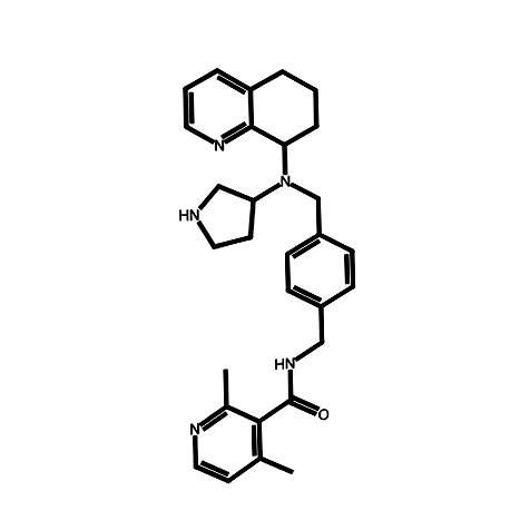 Cc1ccnc(C)c1C(=O)NCc1ccc(CN(C2CCNC2)C2CCCc3cccnc32)cc1